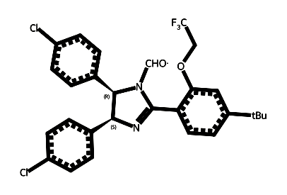 CC(C)(C)c1ccc(C2=N[C@@H](c3ccc(Cl)cc3)[C@@H](c3ccc(Cl)cc3)N2[C]=O)c(OCC(F)(F)F)c1